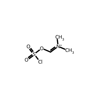 C[N+](C)=COS(=O)(=O)Cl